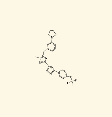 Cc1nc(-c2nc(-c3ccc(OC(F)(F)F)cc3)no2)nn1Cc1cccc(N2CCCC2)c1